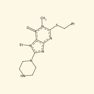 CCn1c(N2CCNCC2)nc2nc(SCC(C)C)n(C)c(=O)c21